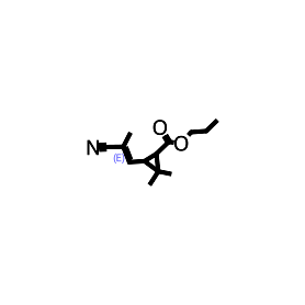 CCCOC(=O)C1C(/C=C(\C)C#N)C1(C)C